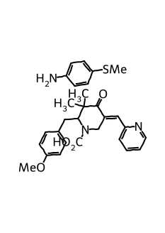 COc1ccc(CC2N(C(=O)O)CC(=Cc3ccccn3)C(=O)C2(C)C)cc1.CSc1ccc(N)cc1